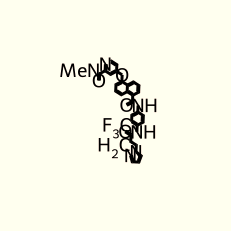 C=C(Cn1cccn1)C(=O)Nc1ccc(NC(=O)c2cccc3c(Oc4ccnc(C(=O)NC)c4)cccc23)cc1C(F)(F)F